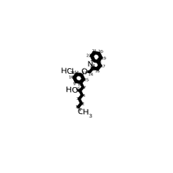 CCCCCC(O)Cc1cccc(OCc2ccc3ccccc3n2)c1.Cl